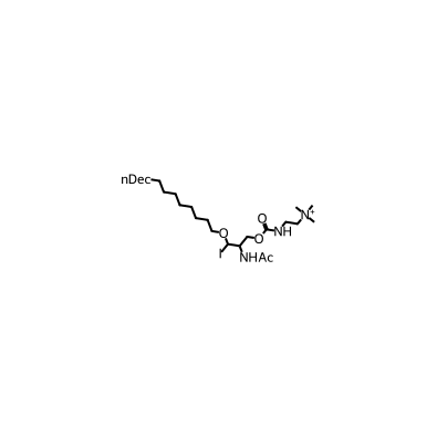 CCCCCCCCCCCCCCCCCCOC(I)C(COC(=O)NCC[N+](C)(C)C)NC(C)=O